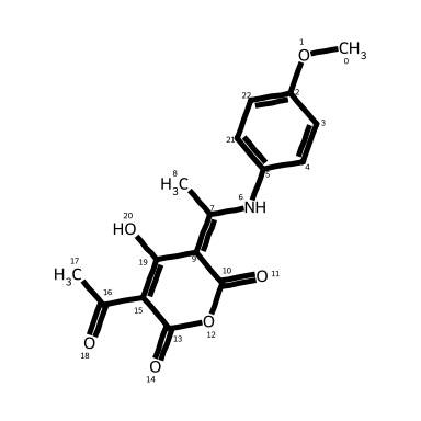 COc1ccc(N/C(C)=C2\C(=O)OC(=O)C(C(C)=O)=C2O)cc1